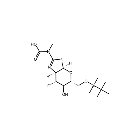 CN(C(=O)O)C1=N[C@@H]2[C@@H](F)[C@H](O)[C@@H](CO[Si](C)(C)C(C)(C)C)O[C@@H]2S1